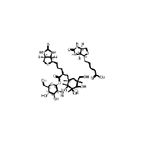 CC1(O)C(C)(O)[C@](C)(O)C(C)(CO)C[C@@]1(C)CC(CCCC1SC[C@@H]2NC(=O)N[C@H]12)C(=O)O[C@H]1O[C@H](CO)[C@@H](O)[C@H](O)[C@@H]1O.O=C(O)CCCC[C@@H]1SC[C@@H]2NC(=O)N[C@@H]21